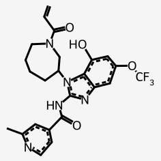 C=CC(=O)N1CCCCC(n2c(NC(=O)c3ccnc(C)c3)nc3cc(OC(F)(F)F)cc(O)c32)C1